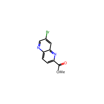 COC(=O)c1ccc2ncc(Br)cc2n1